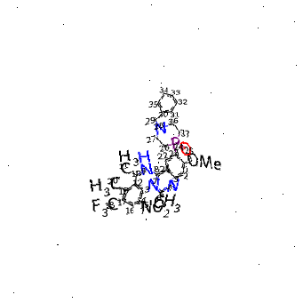 COc1cc2nc(C)nc(N[C@H](C)c3cc([N+](=O)[O-])cc(C(F)(F)F)c3C)c2cc1P1(=O)CCN(Cc2ccccc2)CC1